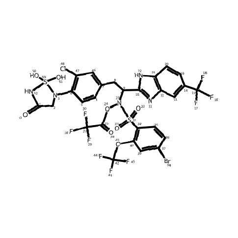 O=C1CN(c2ccc(CC(c3nc4cc(C(F)(F)F)ccc4[nH]3)N(OC(=O)C(F)(F)F)S(=O)(=O)c3ccc(Br)cc3OC(F)(F)F)cc2Cl)S(O)(O)N1